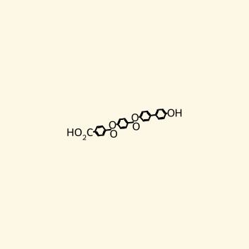 O=C(O)c1ccc(C(=O)Oc2ccc(C(=O)Oc3ccc(-c4ccc(O)cc4)cc3)cc2)cc1